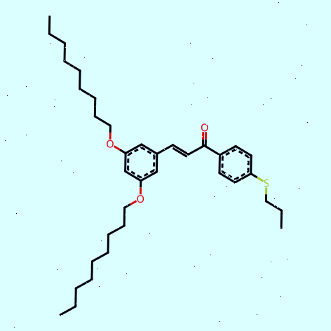 CCCCCCCCCOc1cc(C=CC(=O)c2ccc(SCCC)cc2)cc(OCCCCCCCCC)c1